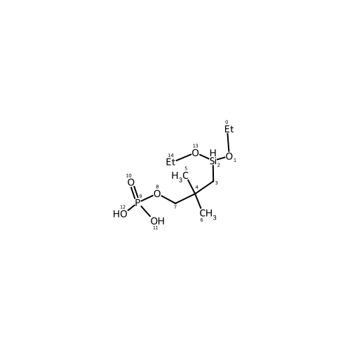 CCO[SiH](CC(C)(C)COP(=O)(O)O)OCC